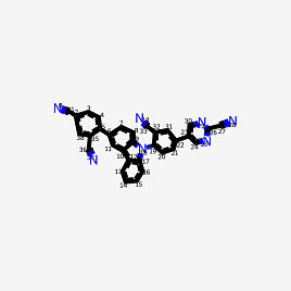 N#Cc1ccc(-c2ccc3c(c2)c2ccccc2n3-c2ccc(-c3cnc(C#N)nc3)cc2C#N)c(C#N)c1